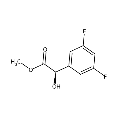 COC(=O)[C@H](O)c1cc(F)cc(F)c1